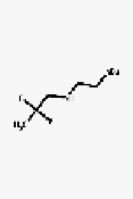 CCCCCCNCC(C)(F)F